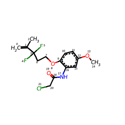 C=C(C)C(F)(F)CCOc1ccc(OC)cc1NC(=O)CCl